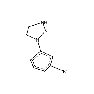 Brc1cccc(N2CCNS2)c1